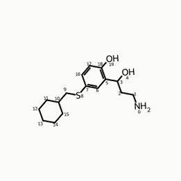 NCCC(O)c1cc(SCC2CCCCC2)ccc1O